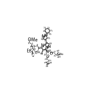 CCC(=O)C1(OCCOC)CCC(c2nc3c(-c4cnn(-c5ccccc5)c4)cnn3c(N(COCC[Si](C)(C)C)COCC[Si](C)(C)C)c2I)CC1